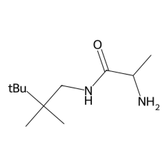 CC(N)C(=O)NCC(C)(C)C(C)(C)C